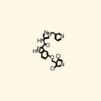 O=C(Nc1cnn(Cc2cccnc2)c1)c1n[nH]c2ccc(OCc3c(Cl)cncc3Cl)cc12